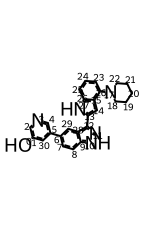 Oc1cncc(-c2ccc3[nH]nc(-c4cc5c(N6CCCCC6)cccc5[nH]4)c3c2)c1